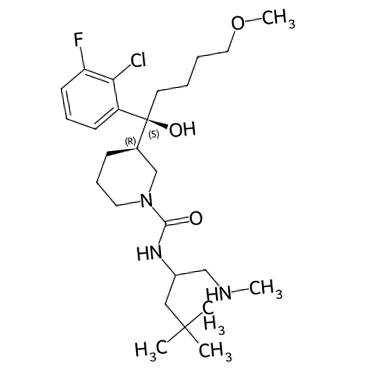 CNCC(CC(C)(C)C)NC(=O)N1CCC[C@@H]([C@@](O)(CCCCOC)c2cccc(F)c2Cl)C1